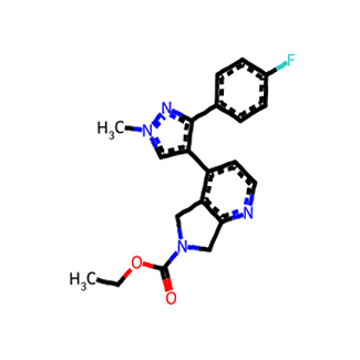 CCOC(=O)N1Cc2nccc(-c3cn(C)nc3-c3ccc(F)cc3)c2C1